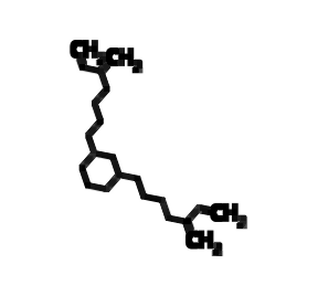 C=CC(=C)CCCCC1CCCC(CCCCC(=C)C=C)C1